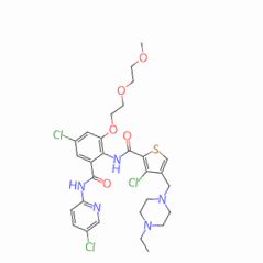 CCN1CCN(Cc2csc(C(=O)Nc3c(OCCOCCOC)cc(Cl)cc3C(=O)Nc3ccc(Cl)cn3)c2Cl)CC1